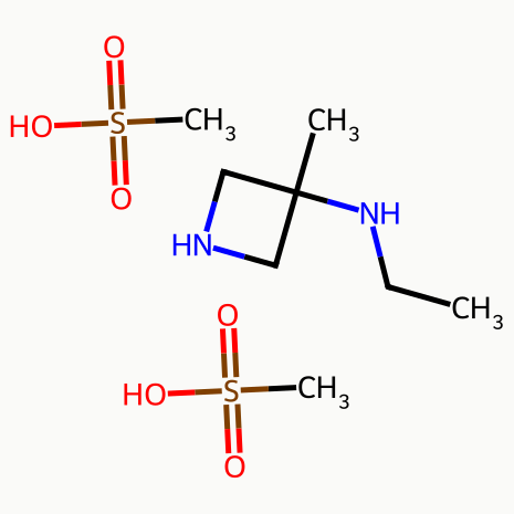 CCNC1(C)CNC1.CS(=O)(=O)O.CS(=O)(=O)O